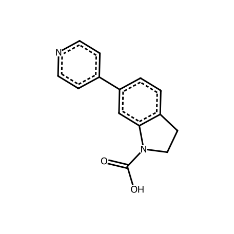 O=C(O)N1CCc2ccc(-c3ccncc3)cc21